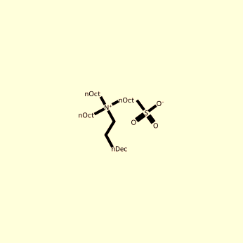 CCCCCCCCCCCC[N+](CCCCCCCC)(CCCCCCCC)CCCCCCCC.CS(=O)(=O)[O-]